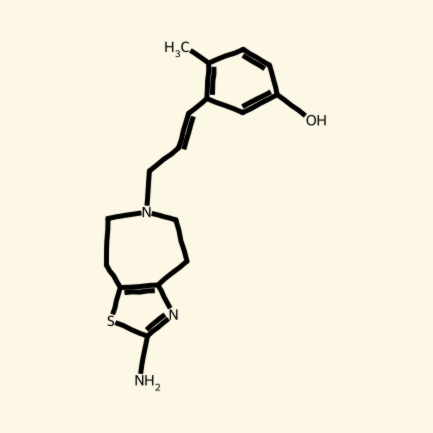 Cc1ccc(O)cc1C=CCN1CCc2nc(N)sc2CC1